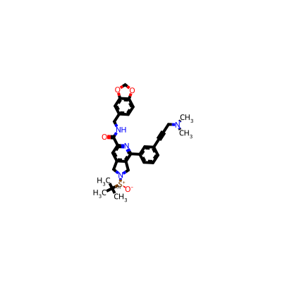 CN(C)CC#Cc1cccc(-c2nc(C(=O)NCc3ccc4c(c3)OCO4)cc3c2CN([S@+]([O-])C(C)(C)C)C3)c1